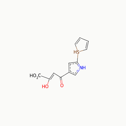 O=C(O)C(O)=CC(=O)c1c[nH]c([SH]2C=CC=C2)c1